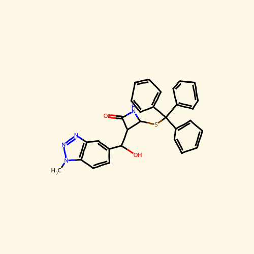 Cn1nnc2cc(C(O)C3C(=O)NC3SC(c3ccccc3)(c3ccccc3)c3ccccc3)ccc21